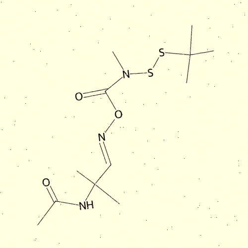 CC(=O)NC(C)(C)C=NOC(=O)N(C)SSC(C)(C)C